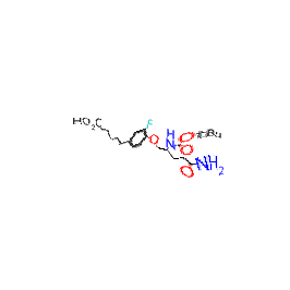 CC(C)(C)OC(=O)N[C@@H](CCC(N)=O)COc1ccc(CCCCCC(=O)O)cc1F